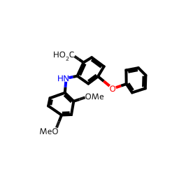 COc1ccc(Nc2cc(Oc3ccccc3)ccc2C(=O)O)c(OC)c1